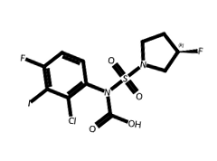 O=C(O)N(c1ccc(F)c(I)c1Cl)S(=O)(=O)N1CC[C@@H](F)C1